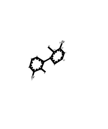 Cc1c(Br)cccc1-c1cccc(Br)c1C